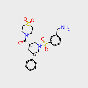 NCc1cccc(S(=O)(=O)N2C[C@@H](C(=O)N3CCS(=O)(=O)CC3)C[C@@H](c3ccccc3)C2)c1